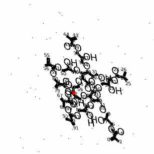 C=C(C)C(=O)OCC(O)COC[C@H]1O[C@@](COCC(O)COC(=O)C(=C)C)(O[C@H]2O[C@H](CO)[C@@H](OCC(O)COC(=O)C(=C)C)[C@H](OCC(O)COC(=O)C(=C)C)[C@H]2OCC(O)COC(=O)C(=C)C)[C@@H](OCC(O)COC(=O)C(=C)C)[C@@H]1OCC(O)COC(=O)C(=C)C